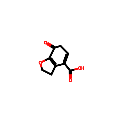 O=C(O)C1=CCC(=O)C2=C1CCO2